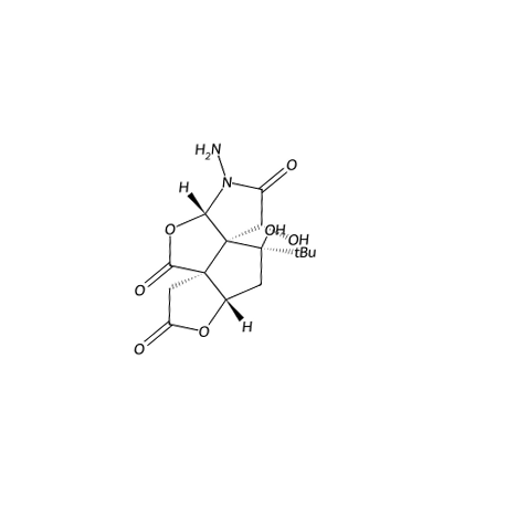 CC(C)(C)[C@]1(O)C[C@@H]2OC(=O)C[C@@]23C(=O)O[C@@H]2N(N)C(=O)[C@H](O)[C@]213